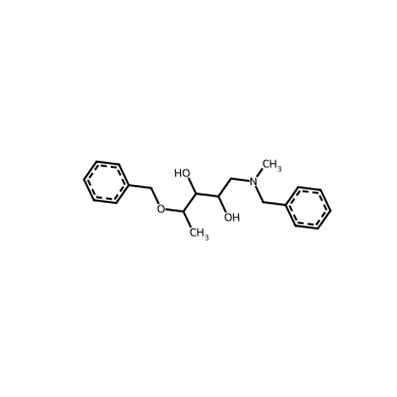 CC(OCc1ccccc1)C(O)C(O)CN(C)Cc1ccccc1